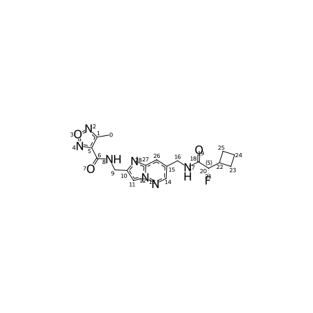 Cc1nonc1C(=O)NCc1cn2ncc(CNC(=O)[C@@H](F)C3CCC3)cc2n1